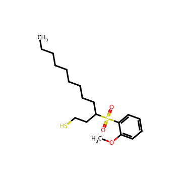 CCCCCCCCCC(CCS)S(=O)(=O)c1ccccc1OC